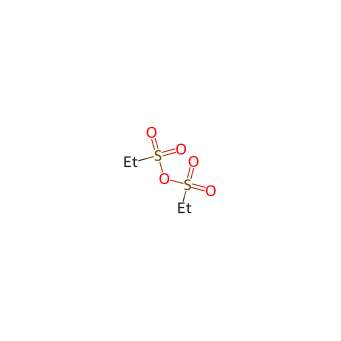 CCS(=O)(=O)OS(=O)(=O)CC